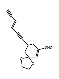 C#CC=CC#CC1CC(C=O)=CC2(C1)OCCO2